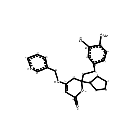 COc1ccc(CCC2(C3CCCC3)CC(OCc3cccnc3)=CC(=O)O2)cc1Cl